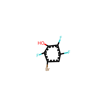 Oc1c(F)c(F)cc(Br)c1F